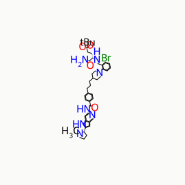 CN1CCC[C@@H]1c1cc2cnc(NC(=O)c3ccc(CCCC4CCN(c5cccc(Br)c5CN[C@@H](CCC(=O)OC(C)(C)C)C(N)=O)CC4)cc3)cc2[nH]1